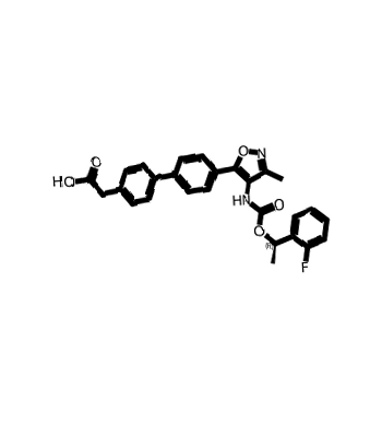 Cc1noc(-c2ccc(-c3ccc(CC(=O)O)cc3)cc2)c1NC(=O)O[C@H](C)c1ccccc1F